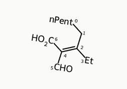 CCCCCCC(CC)=C(C=O)C(=O)O